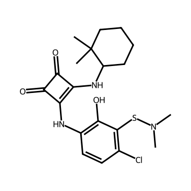 CN(C)Sc1c(Cl)ccc(Nc2c(NC3CCCCC3(C)C)c(=O)c2=O)c1O